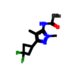 Cc1c(C2CC(F)(F)C2)nn(C)c1NC(=O)OCC(C)C